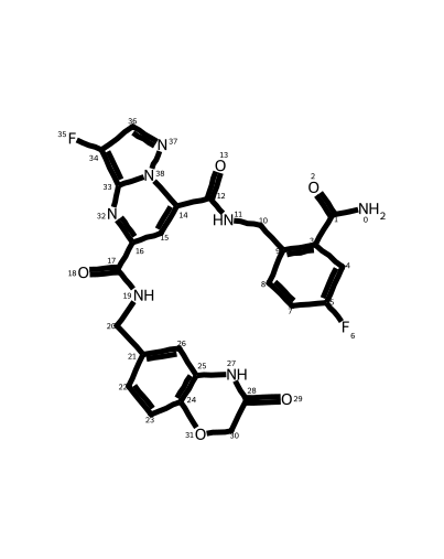 NC(=O)c1cc(F)ccc1CNC(=O)c1cc(C(=O)NCc2ccc3c(c2)NC(=O)CO3)nc2c(F)cnn12